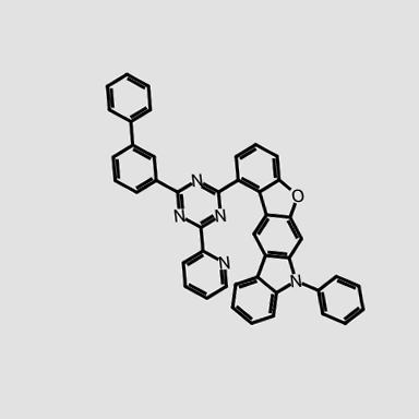 c1ccc(-c2cccc(-c3nc(-c4ccccn4)nc(-c4cccc5oc6cc7c(cc6c45)c4ccccc4n7-c4ccccc4)n3)c2)cc1